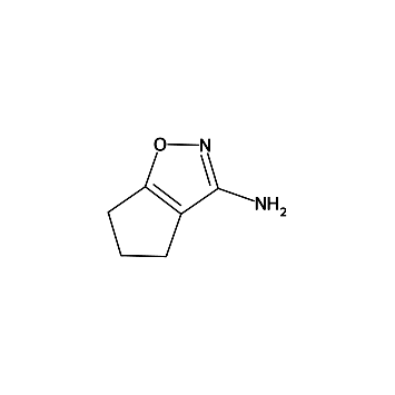 Nc1noc2c1CCC2